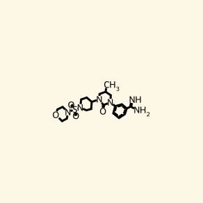 CC1CN(c2cccc(C(=N)N)c2)C(=O)N(C2CCN(S(=O)(=O)N3CCOCC3)CC2)C1